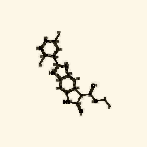 CCOC(=O)C1C(=O)Nc2cc3[nH]c(-c4cc(C)nnc4C)nc3cc21